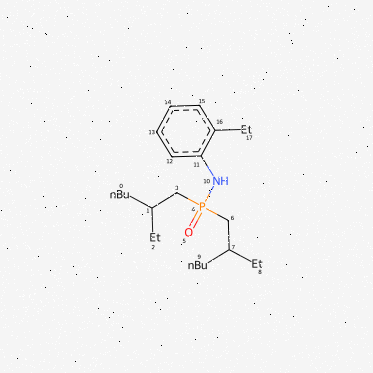 CCCCC(CC)CP(=O)(CC(CC)CCCC)Nc1ccccc1CC